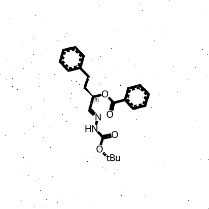 CC(C)(C)OC(=O)NN=C[C@@H](CCc1ccccc1)OC(=O)c1ccccc1